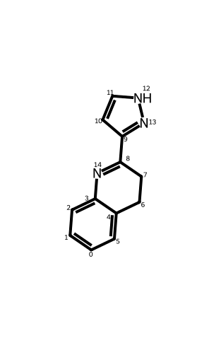 c1ccc2c(c1)CCC(c1cc[nH]n1)=N2